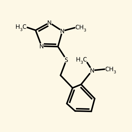 Cc1nc(SCc2ccccc2N(C)C)n(C)n1